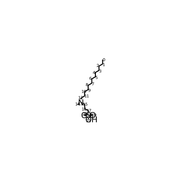 CCCCCCCCCCCCCN(C)CCCS(=O)(=O)O